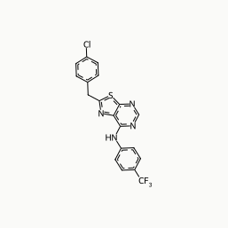 FC(F)(F)c1ccc(Nc2ncnc3sc(Cc4ccc(Cl)cc4)nc23)cc1